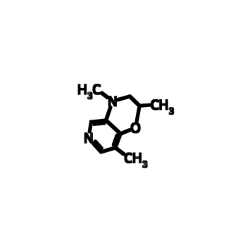 Cc1cncc2c1OC(C)CN2C